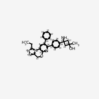 CCc1nnc2n1-c1cc(-c3ccccc3)c(-c3ccc(C4(N)CC(C)(O)C4)cc3)nc1OC2